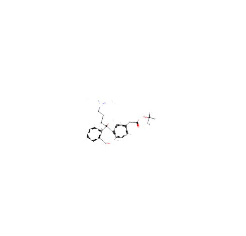 CN(C)CCCC1(O)c2ccccc2COc2ccc(CC(=O)OC(C)(C)C)cc21